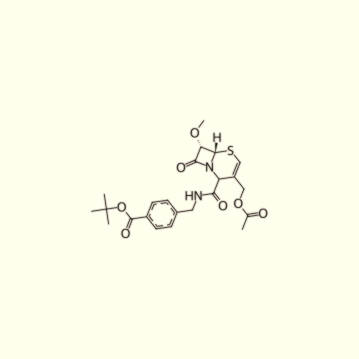 CO[C@H]1C(=O)N2C(C(=O)NCc3ccc(C(=O)OC(C)(C)C)cc3)C(COC(C)=O)=CS[C@@H]12